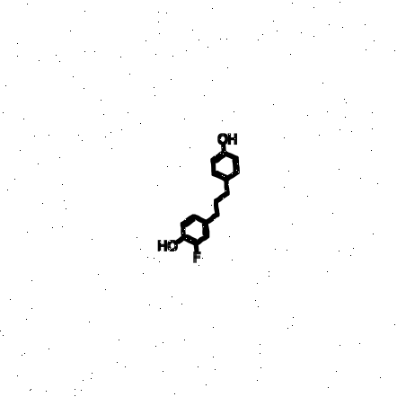 Oc1ccc(CCCc2ccc(O)c(F)c2)cc1